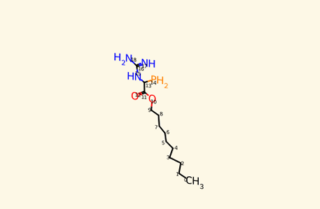 CCCCCCCCCCOC(=O)C(P)NC(=N)N